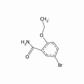 [CH2]COc1ccc(Br)cc1C(N)=O